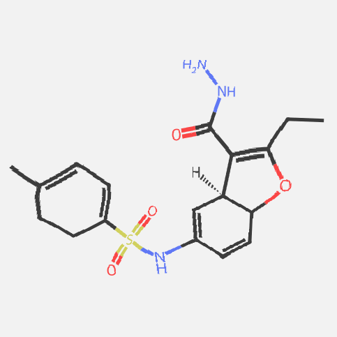 CCC1=C(C(=O)NN)[C@@H]2C=C(NS(=O)(=O)C3=CC=C(C)CC3)C=CC2O1